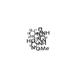 COc1ncccc1Nc1ncc2[nH]c(=O)n(C3CCCCC3CO)c2n1